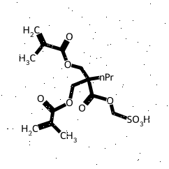 C=C(C)C(=O)OCC(CCC)(COC(=O)C(=C)C)C(=O)OCS(=O)(=O)O